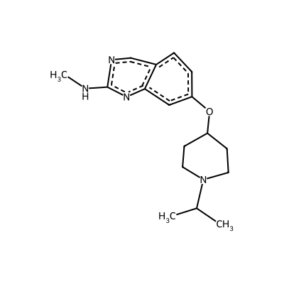 CNc1ncc2ccc(OC3CCN(C(C)C)CC3)cc2n1